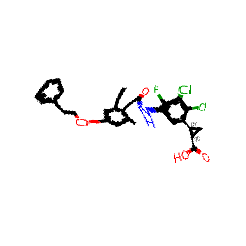 Cc1cc(OCCc2ccccc2)cc(C)c1C(=O)Nc1cc([C@H]2C[C@H]2C(=O)O)c(Cl)c(Cl)c1F